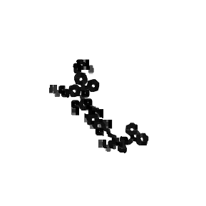 COc1ccc(C(OC[C@H]2O[C@@H](n3cnc4c(NC(=O)CCCN(C)C(=O)OCC5c6ccccc6-c6ccccc65)ncnc43)C[C@H]2O)(c2ccccc2)c2ccc(OC)cc2)cc1